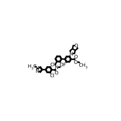 CCOC(=O)c1cc(F)c(-c2cccc3c2OCN(C(=O)c2c(Cl)cc(-c4cnn(C)c4)cc2Cl)C3)cc1N1CC2COCC2C1